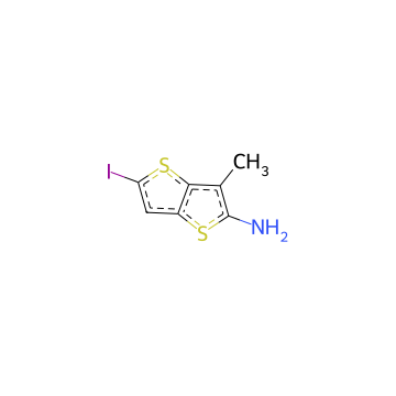 Cc1c(N)sc2cc(I)sc12